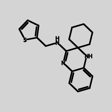 c1csc(CNC2=Nc3ccccc3NC23CCCCC3)c1